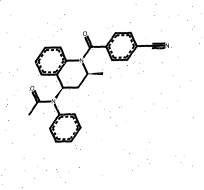 CC(=O)N(c1ccccc1)[C@@H]1C[C@H](C)N(C(=O)c2ccc(C#N)cc2)c2ccccc21